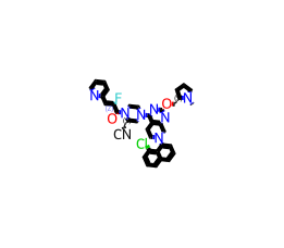 CN1CCC[C@H]1COc1nc2c(c(N3CCN(C(=O)/C(F)=C/c4ccccn4)[C@@H](CC#N)C3)n1)CCN(c1cccc3cccc(Cl)c13)C2